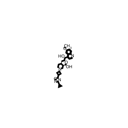 COc1ccc2nccc(C(O)CC[C@@H]3CCN(C4CC(c5nc(C6CC6)no5)C4)C[C@@H]3C(=O)O)c2c1